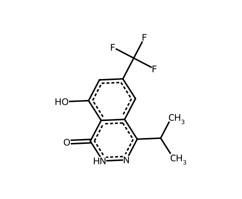 CC(C)c1n[nH]c(=O)c2c(O)cc(C(F)(F)F)cc12